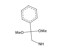 COC(C[NH])(OC)c1ccccc1